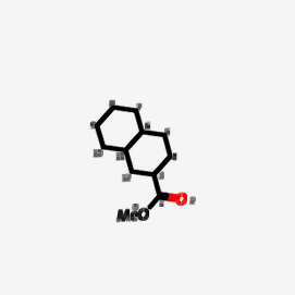 COC(=O)C1CCC2CCCCC2C1